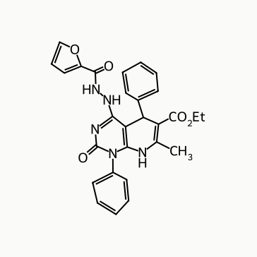 CCOC(=O)C1=C(C)Nc2c(c(NNC(=O)c3ccco3)nc(=O)n2-c2ccccc2)C1c1ccccc1